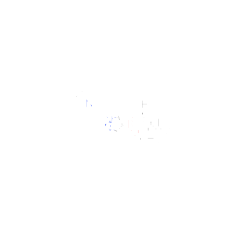 CC1(C)OB(c2cnn(C3CCN(C4CC4)CC3)c2)OC1(C)C